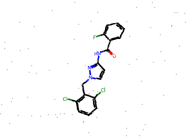 O=C(Nc1ccn(Cc2c(Cl)cccc2Cl)n1)c1ccccc1F